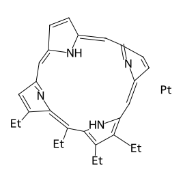 CCC1=Cc2cc3ccc(cc4nc(cc5[nH]c(c(CC)c1n2)c(CC)c5CC)C=C4)[nH]3.[Pt]